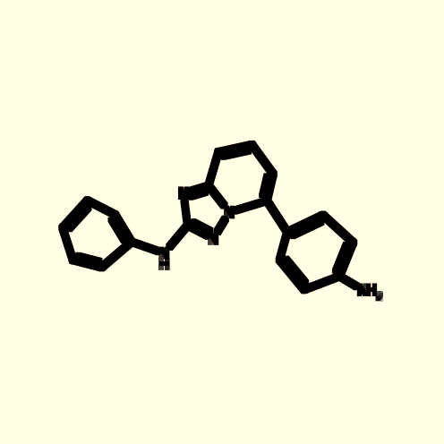 Nc1ccc(-c2cccc3nc(Nc4ccccc4)nn23)cc1